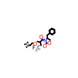 C[Si](C)(C)CCOCC(CC(F)(F)F)C(=O)N1C(=O)OCC1Cc1ccccc1